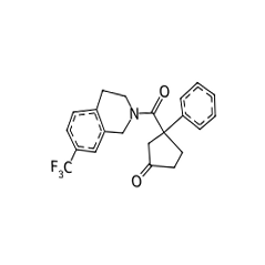 O=C1CCC(C(=O)N2CCc3ccc(C(F)(F)F)cc3C2)(c2ccccc2)C1